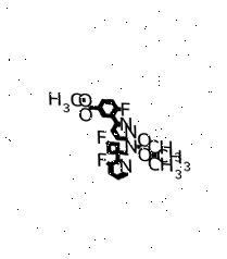 COC(=O)c1ccc(F)c(-c2ccc(N(CC3(c4ncccc4F)CC(F)C3)C(=O)OC(C)(C)C)nn2)c1